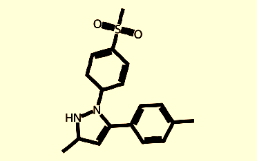 Cc1ccc(C2=CC(C)NN2C2C=CC(S(C)(=O)=O)=CC2)cc1